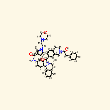 Cc1c(C(=O)N(C)c2ccccc2)cc(-c2cc3c(cc2C(=O)N2Cc4ccccc4C[C@H]2C)CN(C(=O)Cc2ccccc2)CC3)n1CCN1CCOCC1